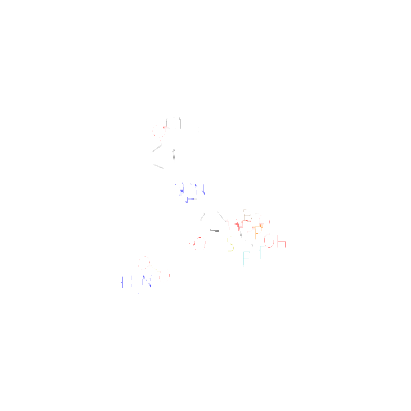 COc1ccc(Cn2cnc(-c3cc(OCCCS(N)(=O)=O)c4sc(C(F)(F)P(=O)(O)O)c(Br)c4c3)n2)cc1